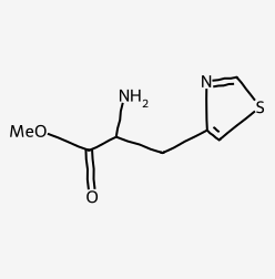 COC(=O)C(N)Cc1cscn1